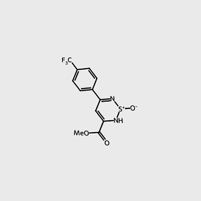 COC(=O)C1=CC(c2ccc(C(F)(F)F)cc2)=N[S+]([O-])N1